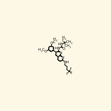 COc1cc(OC)cc(-c2cc3ccc(NCCCC(F)(F)F)nc3nc2NC(=O)NC(C)(C)C)c1